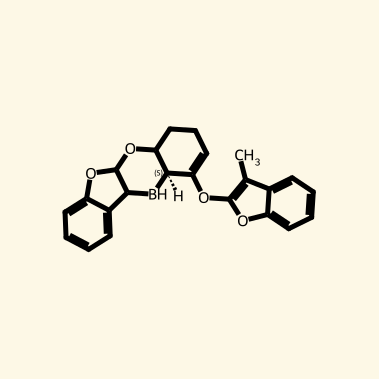 Cc1c(OC2=CCCC3OC4Oc5ccccc5C4B[C@H]23)oc2ccccc12